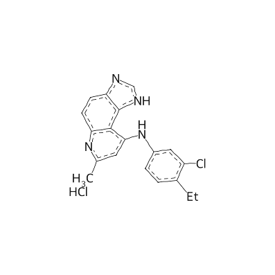 CCc1ccc(Nc2cc(C)nc3ccc4nc[nH]c4c23)cc1Cl.Cl